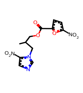 CC(COC(=O)c1ccc([N+](=O)[O-])o1)Cn1cncc1[N+](=O)[O-]